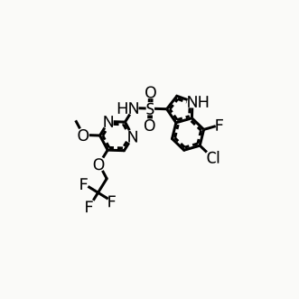 COc1nc(NS(=O)(=O)c2c[nH]c3c(F)c(Cl)ccc23)ncc1OCC(F)(F)F